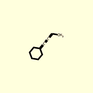 CC=C=C=C1CCCCC1